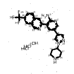 Cl.Cl.Cl.Nc1ncc(-c2cnn(C3CCNCC3)c2)cc1-c1cc2ccc(C(F)(F)F)cc2cn1